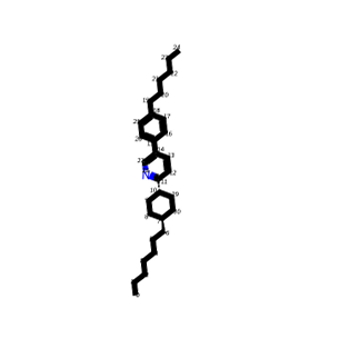 CCCCCCC[C@H]1CC[C@H](c2ccc(-c3ccc(CCCCCC)cc3)cn2)CC1